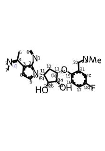 C=Nc1c(/C(C)=N\C)ccn1[C@@H]1C[C@H](Oc2ccc(F)cc2CNC)[C@@H](O)[C@H]1O